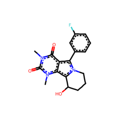 Cn1c(=O)c2c(-c3cccc(F)c3)n3c(c2n(C)c1=O)C(O)CCC3